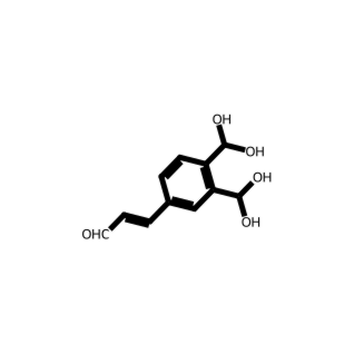 O=C/C=C/c1ccc(C(O)O)c(C(O)O)c1